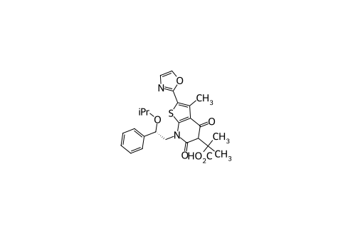 Cc1c(-c2ncco2)sc2c1C(=O)C(C(C)(C)C(=O)O)C(=O)N2C[C@@H](OC(C)C)c1ccccc1